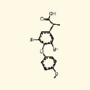 COc1ccc(Oc2c(Br)cc(C(C)C(=O)O)cc2Br)cc1